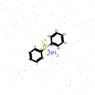 NP(=S)(c1ccccc1)c1ccccc1